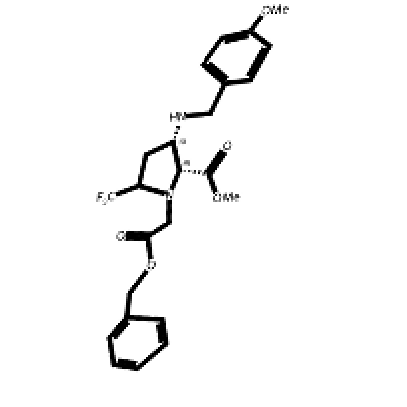 COC(=O)[C@H]1[C@@H](NCc2ccc(OC)cc2)CC(C(F)(F)F)N1CC(=O)OCc1ccccc1